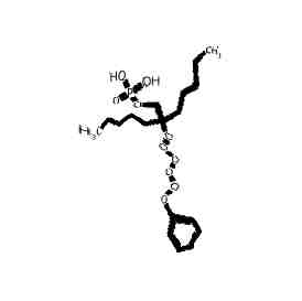 CCCCCC(CCCCC)(COP(=O)(O)O)OOOOOOc1ccccc1